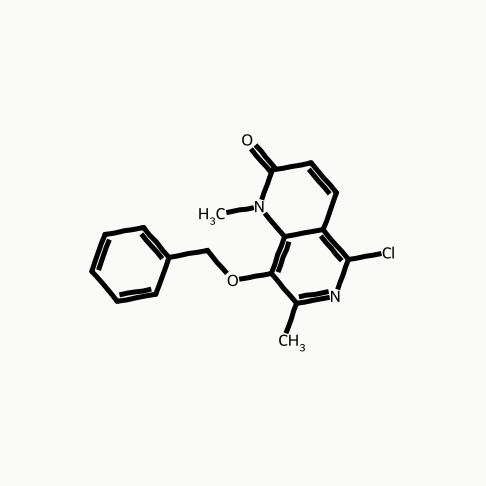 Cc1nc(Cl)c2ccc(=O)n(C)c2c1OCc1ccccc1